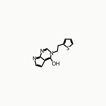 Oc1c2ccnc-2ncn1CCc1cccs1